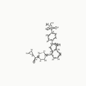 CS(=O)(=O)c1ccc(-c2cc3c(N4CCN(C(=O)C5CC5)CC4)ccnc3[nH]2)cc1